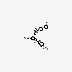 COc1cc(OCc2csc(N3CCC(c4cccc(Cl)c4)CC3)n2)c2cc(-c3cn4nc(C)ccc4n3)oc2c1